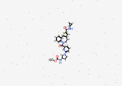 CC(C)(C)OC(=O)N[C@@H]1CCN(c2cccc(C(=O)N3CCc4cc(C(=O)NC5CC5)sc4-c4ccccc43)n2)C1